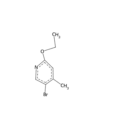 CCOc1cc(C)c(Br)cn1